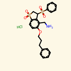 Cl.NCc1c(OCCCc2ccccc2)ccc2c1C(S(=O)(=O)c1ccccc1)CS2(=O)=O